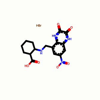 Br.O=C(O)C1CCCCC1NCc1cc([N+](=O)[O-])cc2[nH]c(=O)c(=O)[nH]c12